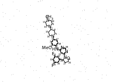 COc1cc(N2CCC(N3CCN(C)CC3)CC2)ccc1Nc1cc(N2OCCC2c2cc(F)cc(F)c2)ncn1